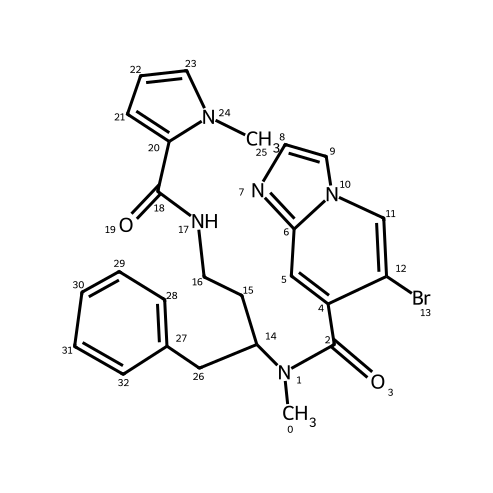 CN(C(=O)c1cc2nccn2cc1Br)C(CCNC(=O)c1cccn1C)Cc1ccccc1